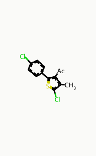 CC(=O)c1c(-c2ccc(Cl)cc2)sc(Cl)c1C